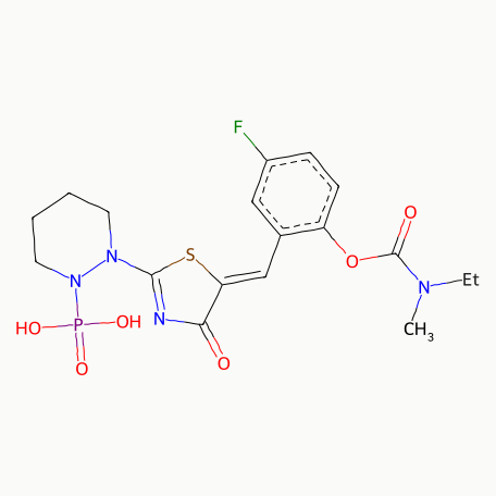 CCN(C)C(=O)Oc1ccc(F)cc1/C=C1\SC(N2CCCCN2P(=O)(O)O)=NC1=O